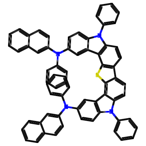 c1ccc(N(c2ccc3ccccc3c2)c2ccc3c(c2)c2c4sc5c(ccc6c5c5cc(N(c7ccccc7)c7ccc8ccccc8c7)ccc5n6-c5ccccc5)c4ccc2n3-c2ccccc2)cc1